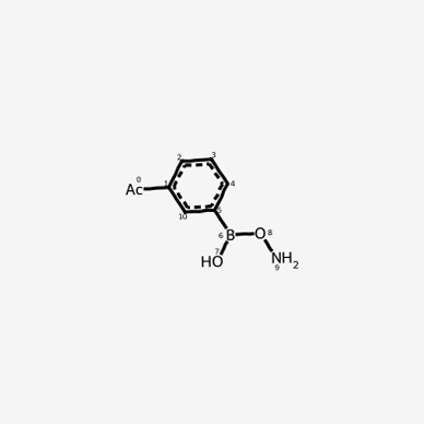 CC(=O)c1cccc(B(O)ON)c1